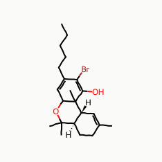 CCCCCC1=CC2OC(C)(C)[C@@H]3CCC(C)=C[C@H]3C2(C)C(O)=C1Br